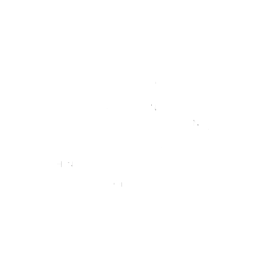 Nc1ccc2c(oc(N)[n+]2[O-])c1O